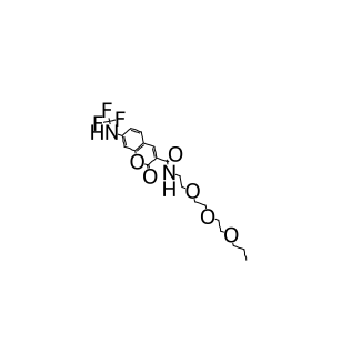 CCCOCCOCCOCCNC(=O)c1cc2ccc(NC(F)(F)F)cc2oc1=O